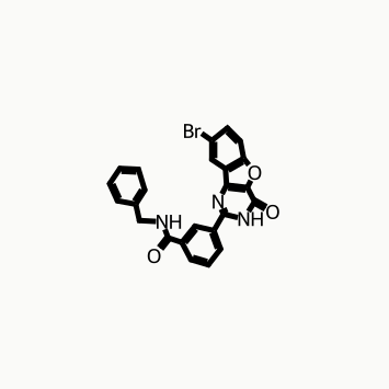 O=C(NCc1ccccc1)c1cccc(-c2nc3c(oc4ccc(Br)cc43)c(=O)[nH]2)c1